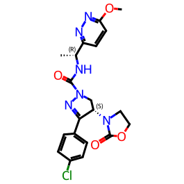 COc1ccc([C@@H](C)NC(=O)N2C[C@H](N3CCOC3=O)C(c3ccc(Cl)cc3)=N2)nn1